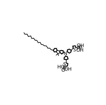 CCCCCCCCCCCCCCCCCCc1ccc2c(c1)C(C)(C)c1cc(N(c3ccc(-c4ccc(P(=O)(O)O)s4)cc3)c3ccc(-c4ccc(P(=O)(O)O)s4)cc3)ccc1-2